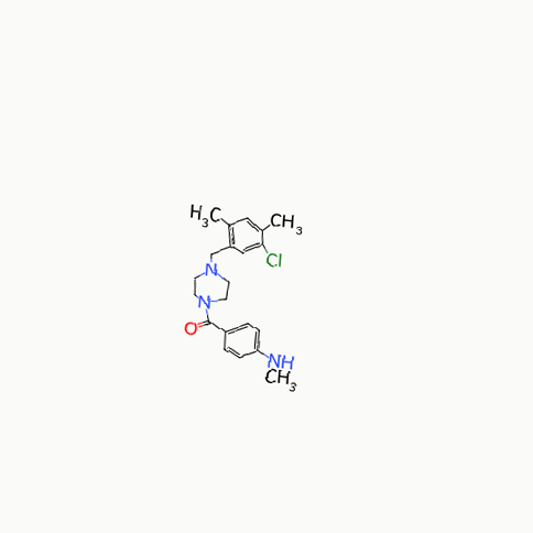 CNc1ccc(C(=O)N2CCN(Cc3cc(Cl)c(C)cc3C)CC2)cc1